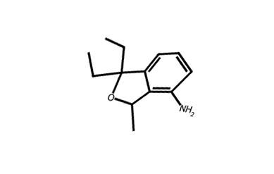 CCC1(CC)OC(C)c2c(N)cccc21